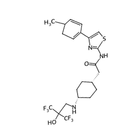 CC1C=CC(c2csc(NC(=O)C[C@H]3CC[C@@H](NCC(O)(C(F)(F)F)C(F)(F)F)CC3)n2)=CC1